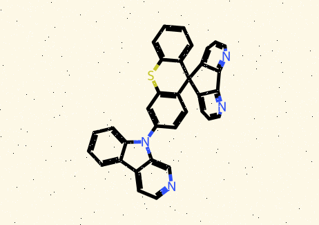 c1ccc2c(c1)Sc1cc(-n3c4ccccc4c4ccncc43)ccc1C21c2cccnc2-c2ncccc21